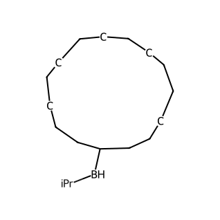 CC(C)BC1CCCCCCCCCCCCCC1